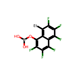 CCc1c(F)c(F)c(F)c2c(F)c(F)c(F)c(OB(O)O)c12